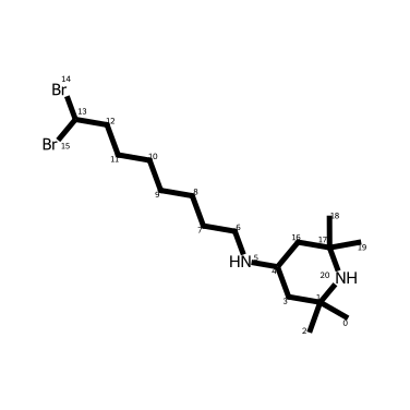 CC1(C)CC(NCCCCCCCC(Br)Br)CC(C)(C)N1